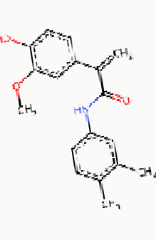 C=C(C(=O)Nc1ccc(C)c(C)c1)c1ccc(O)c(OC)c1